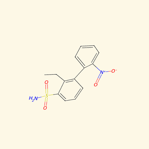 CCc1c(-c2ccccc2[N+](=O)[O-])cccc1S(N)(=O)=O